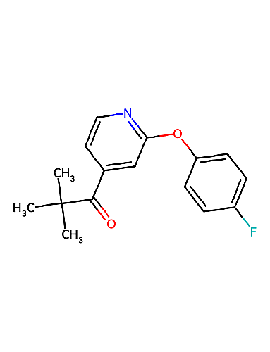 CC(C)(C)C(=O)c1ccnc(Oc2ccc(F)cc2)c1